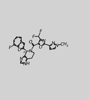 Cn1ccc(-c2nc(C(F)F)c(C(=O)N3CCc4[nH]cnc4[C@H]3c3cc4cccc(F)c4o3)o2)n1